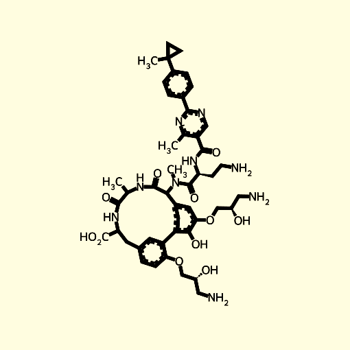 Cc1nc(-c2ccc(C3(C)CC3)cc2)ncc1C(=O)N[C@@H](CCN)C(=O)N(C)C1C(=O)NC(C)C(=O)NC(C(=O)O)Cc2ccc(OC[C@H](O)CN)c(c2)-c2cc1cc(OC[C@H](O)CN)c2O